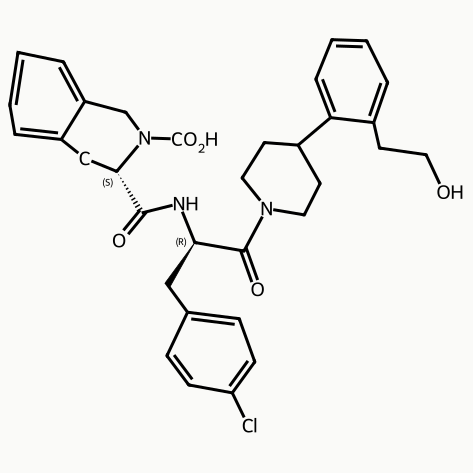 O=C(N[C@H](Cc1ccc(Cl)cc1)C(=O)N1CCC(c2ccccc2CCO)CC1)[C@@H]1Cc2ccccc2CN1C(=O)O